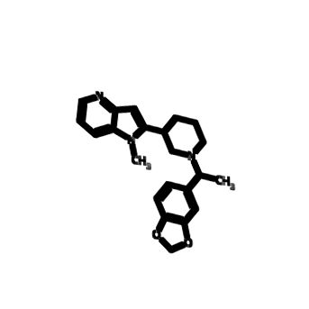 CC(c1ccc2c(c1)OCO2)N1CCCC(c2cc3ncccc3n2C)C1